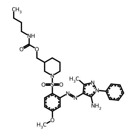 CCCCNC(=O)OCC1CCCN(S(=O)(=O)c2ccc(OC)cc2/N=N/c2c(C)nn(-c3ccccc3)c2N)C1